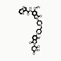 CC(C)Oc1cc2c(cc1NC(=O)c1cnn3cccnc13)CN(C1CCN(CC3CCN(c4ccc5c(c4F)CN(C4CCC(=O)NC4=O)C5=O)CC3)CC1)C2=O